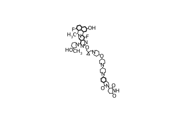 CCc1c(F)ccc2cc(O)cc(-c3ncc4c(N5CCC[C@@](C)(O)C5)nc(OCC5(CN6CCC(OC7CCN(C8CCN(c9ccc%10c(c9)CN(C9CCC(=O)NC9=O)C%10=O)CC8)CC7)CC6)CC5)nc4c3F)c12